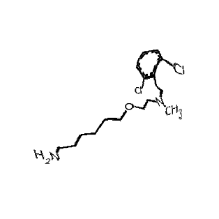 CN(CCOCCCCCCN)Cc1c(Cl)cccc1Cl